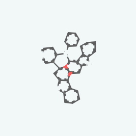 c1ccc(N(c2ccccc2-c2ccc3c(c2)sc2ccccc23)c2cccc3oc4ccccc4c23)cc1